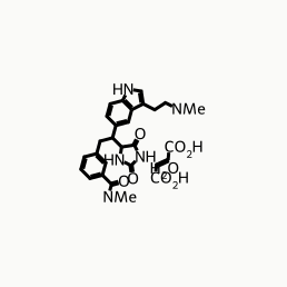 CNCCc1c[nH]c2ccc(C(Cc3cccc(C(=O)NC)c3)C3NC(=O)NC3=O)cc12.O.O=C(O)C=CC(=O)O